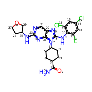 NC(=O)[C@H]1CC[C@@H](n2c(Nc3c(Cl)cc(Cl)cc3Cl)nc3cnc(N[C@H]4CCOC4)nc32)CC1